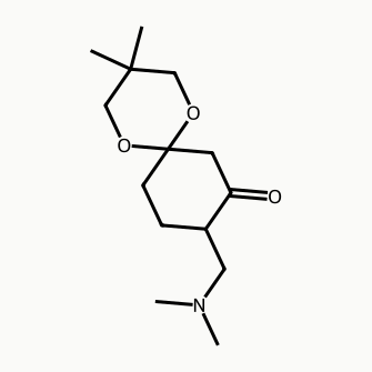 CN(C)CC1CCC2(CC1=O)OCC(C)(C)CO2